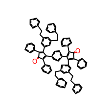 O=C1C(c2ccccc2)=C(c2ccc(C3=C(c4ccccc4)C(=O)C(c4ccccc4)=C3c3cc(CCc4ccccc4)cc(CCc4ccccc4)c3)cc2)C(c2cc(CCc3ccccc3)cc(CCc3ccccc3)c2)=C1c1ccccc1